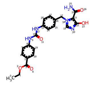 CCOC(=O)c1ccc(NC(=O)Nc2ccc(Cn3cnc(O)c3C(N)=O)cc2)cc1